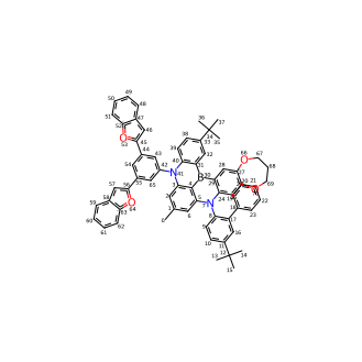 Cc1cc2c3c(c1)N(c1ccc(C(C)(C)C)cc1-c1ccccc1)c1cc4c(cc1B3c1cc(C(C)(C)C)ccc1N2c1cc(-c2cc3ccccc3o2)cc(-c2cc3ccccc3o2)c1)OCCCO4